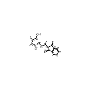 CC(ON=[N+]([O-])N(C)[C@@H](C)CO)N1C(=O)c2ccccc2C1=O